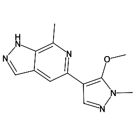 COc1c(-c2cc3cn[nH]c3c(C)n2)cnn1C